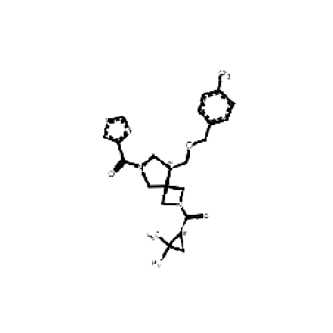 CC1(C)C[C@@H]1C(=O)N1CC2(CN(C(=O)c3cncs3)C[C@H]2COCc2ccc(C(F)(F)F)cc2)C1